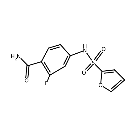 NC(=O)c1ccc(NS(=O)(=O)c2ccco2)cc1F